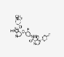 CN1CCC(Oc2n[nH]c3nccc(Oc4ccc(NC(=O)c5nccn(-c6ccc(F)cc6)c5=O)cc4F)c23)CC1